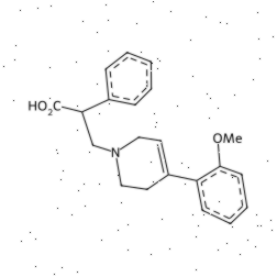 COc1ccccc1C1=CCN(CC(C(=O)O)c2ccccc2)CC1